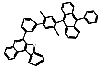 Cc1cc(-c2c3ccccc3c(-c3ccccc3)c3ccccc23)c(C)cc1-c1cccc(-c2cc3ccccc3c3c2oc2ccccc23)c1